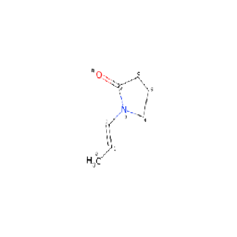 CC=CN1CCCC1=O